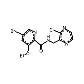 CCSc1cc(Br)cnc1C(=O)NCc1nccnc1Cl